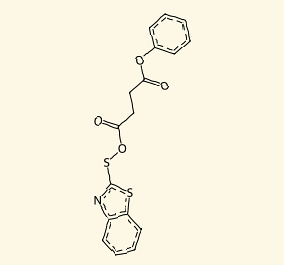 O=C(CCC(=O)Oc1ccccc1)OSc1nc2ccccc2s1